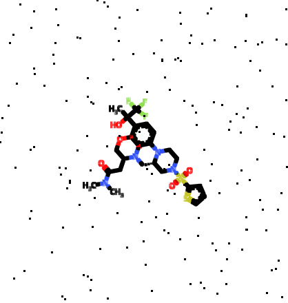 CN(C)C(=O)CC1COCCN1C[C@H]1CN(S(=O)(=O)c2cccs2)CCN1c1ccc(C(C)(O)C(F)(F)F)cc1